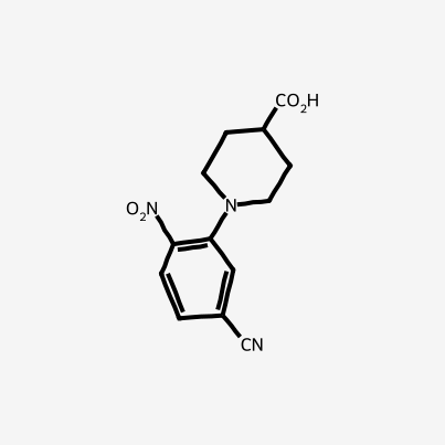 N#Cc1ccc([N+](=O)[O-])c(N2CCC(C(=O)O)CC2)c1